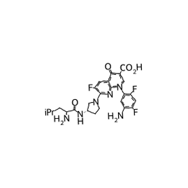 CC(C)C[C@H](N)C(=O)N[C@H]1CCN(c2nc3c(cc2F)c(=O)c(C(=O)O)cn3-c2cc(N)c(F)cc2F)C1